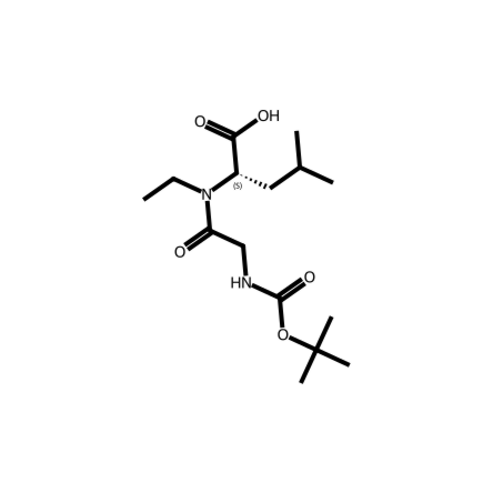 CCN(C(=O)CNC(=O)OC(C)(C)C)[C@@H](CC(C)C)C(=O)O